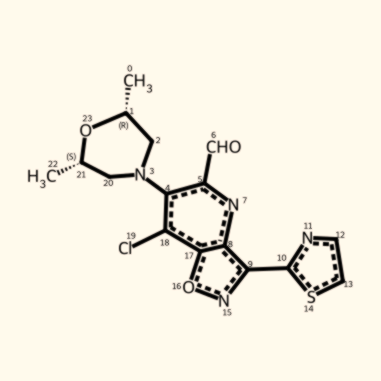 C[C@@H]1CN(c2c(C=O)nc3c(-c4nccs4)noc3c2Cl)C[C@H](C)O1